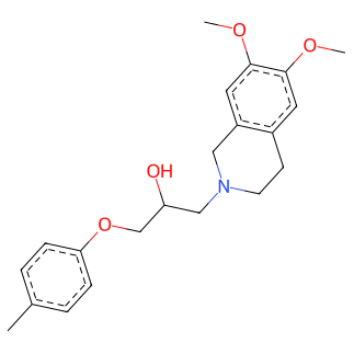 COc1cc2c(cc1OC)CN(CC(O)COc1ccc(C)cc1)CC2